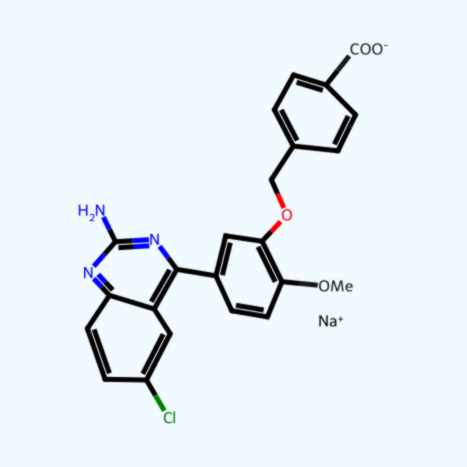 COc1ccc(-c2nc(N)nc3ccc(Cl)cc23)cc1OCc1ccc(C(=O)[O-])cc1.[Na+]